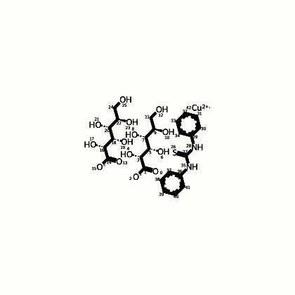 O=C([O-])[C@H](O)[C@@H](O)[C@H](O)[C@H](O)CO.O=C([O-])[C@H](O)[C@@H](O)[C@H](O)[C@H](O)CO.S=C(Nc1ccccc1)Nc1ccccc1.[Cu+2]